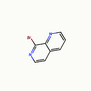 Brc1nccc2cccnc12